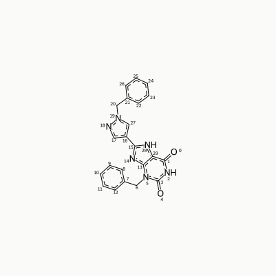 O=c1[nH]c(=O)n(Cc2ccccc2)c2nc(-c3cnn(Cc4ccccc4)c3)[nH]c12